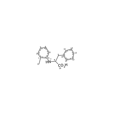 Cc1ccccc1NC(Cc1ccccc1)C(=O)O